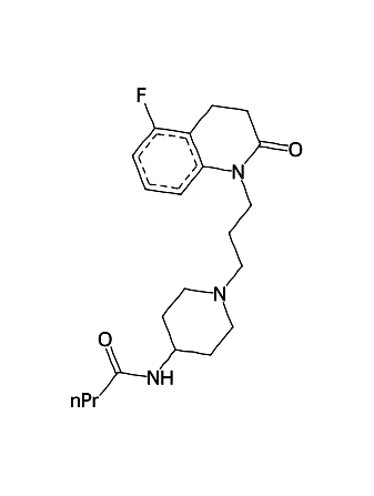 CCCC(=O)NC1CCN(CCCN2C(=O)CCc3c(F)cccc32)CC1